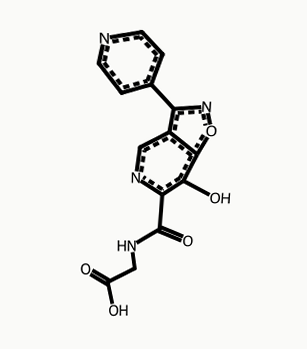 O=C(O)CNC(=O)c1ncc2c(-c3ccncc3)noc2c1O